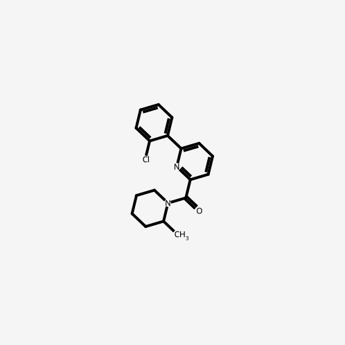 CC1CCCCN1C(=O)c1cccc(-c2ccccc2Cl)n1